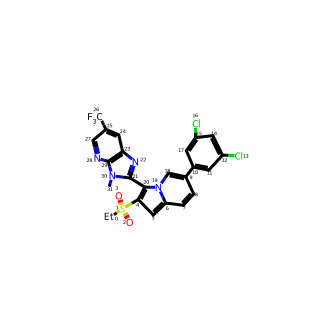 CCS(=O)(=O)c1cc2ccc(-c3cc(Cl)cc(Cl)c3)cn2c1-c1nc2cc(C(F)(F)F)cnc2n1C